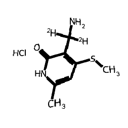 Cl.[2H]C([2H])(N)c1c(SC)cc(C)[nH]c1=O